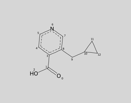 O=C(O)c1ccncc1CC1CC1